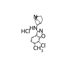 Cc1ccc2c(NC3CN4CCC3CC4)noc2c1Cl.Cl